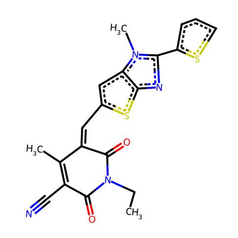 CCN1C(=O)C(C#N)=C(C)/C(=C/c2cc3c(nc(-c4cccs4)n3C)s2)C1=O